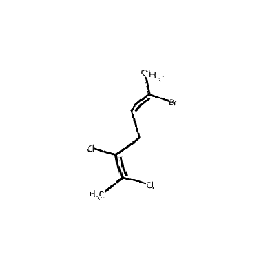 [CH2]C(Br)=CCC(Cl)=C(C)Cl